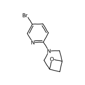 Brc1ccc(N2CC3CC(C2)O3)nc1